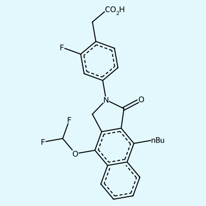 CCCCc1c2c(c(OC(F)F)c3ccccc13)CN(c1ccc(CC(=O)O)c(F)c1)C2=O